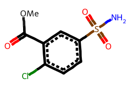 COC(=O)c1cc(S(N)(=O)=O)ccc1Cl